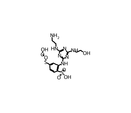 NCCNc1nc(NCCO)nc(Nc2cc(SOOO)ccc2S(=O)(=O)O)n1